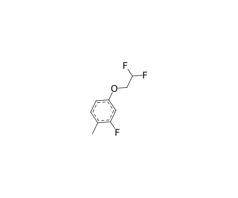 Cc1ccc(OCC(F)F)cc1F